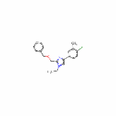 CCn1cc(-c2ccc(F)c(C)c2)nc1COCc1ccccc1